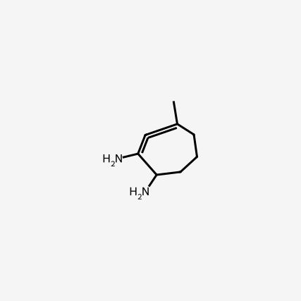 CC1=C=C(N)C(N)CCC1